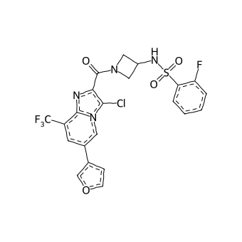 O=C(c1nc2c(C(F)(F)F)cc(-c3ccoc3)cn2c1Cl)N1CC(NS(=O)(=O)c2ccccc2F)C1